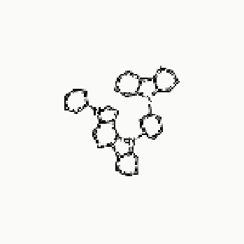 c1ccc(-n2ccc3c2ccc2c4ccccc4n(-c4cccc(-n5c6ccccc6c6ccccc65)c4)c23)cc1